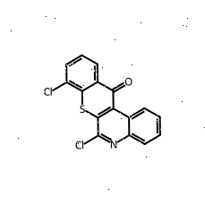 O=c1c2cccc(Cl)c2sc2c(Cl)nc3ccccc3c12